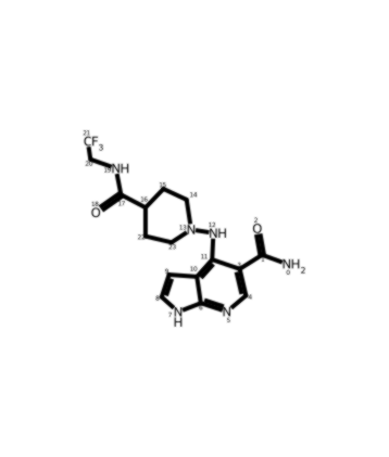 NC(=O)c1cnc2[nH]ccc2c1NN1CCC(C(=O)NCC(F)(F)F)CC1